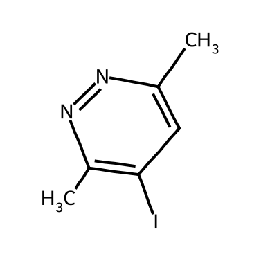 Cc1cc(I)c(C)nn1